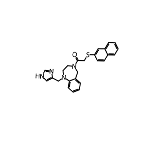 O=C(CSc1ccc2ccccc2c1)N1CCN(Cc2c[nH]cn2)c2ccccc2C1